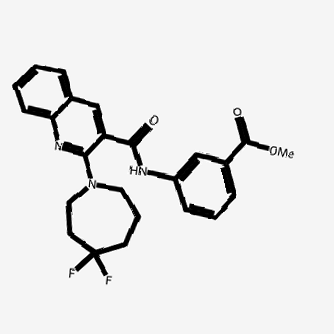 COC(=O)c1cccc(NC(=O)c2cc3ccccc3nc2N2CCCC(F)(F)CC2)c1